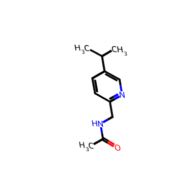 CC(=O)NCc1ccc(C(C)C)cn1